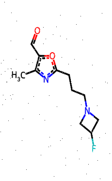 Cc1nc(CCCN2CC(F)C2)oc1C=O